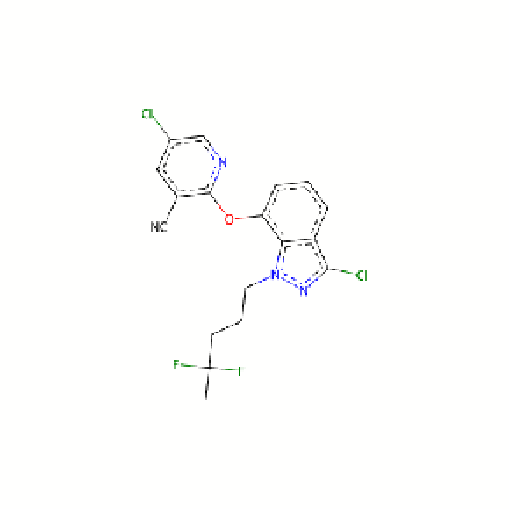 CC(F)(F)CCCn1nc(Cl)c2cccc(Oc3ncc(Cl)cc3C#N)c21